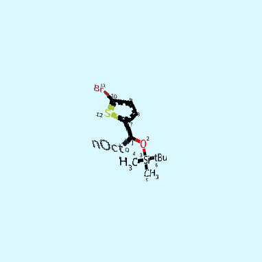 CCCCCCCCC(O[Si](C)(C)C(C)(C)C)c1ccc(Br)s1